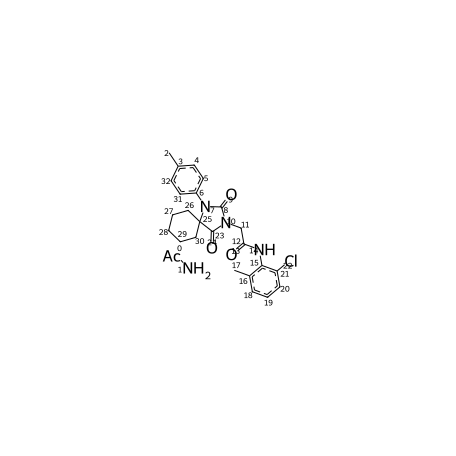 CC(N)=O.Cc1ccc(N2C(=O)N(CC(=O)Nc3c(C)cccc3Cl)C(=O)C23CCCCC3)cc1